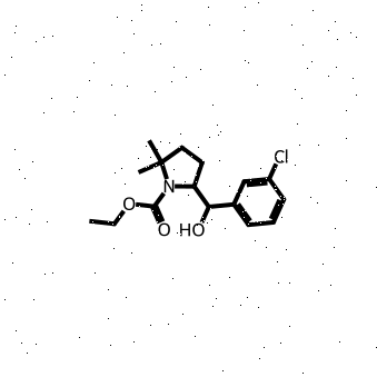 CCOC(=O)N1C(C(O)c2cccc(Cl)c2)CCC1(C)C